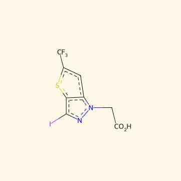 O=C(O)Cn1nc(I)c2sc(C(F)(F)F)cc21